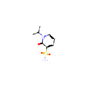 CC(C)n1cccc(S(N)(=O)=O)c1=O